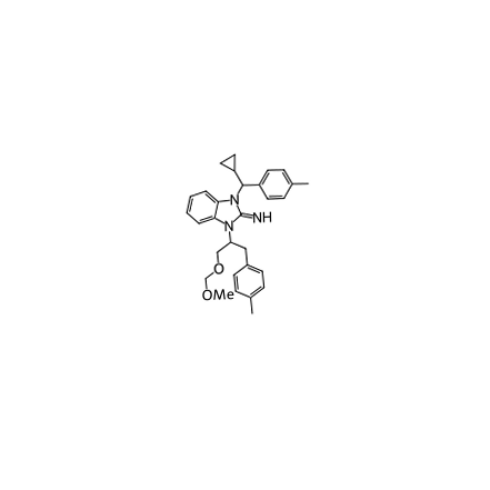 COCOCC(Cc1ccc(C)cc1)n1c(=N)n(C(c2ccc(C)cc2)C2CC2)c2ccccc21